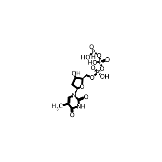 Cc1cn([C@H]2CC(O)[C@@H](COP(=O)(O)OP(=O)(O)O[PH](=O)O)O2)c(=O)[nH]c1=O